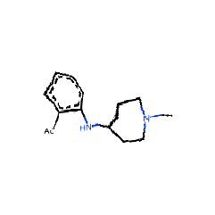 CC(=O)c1ccccc1NC1CCN(C)CC1